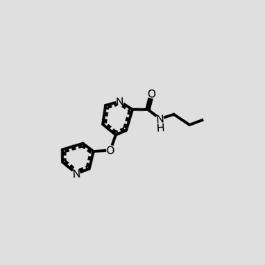 CCCNC(=O)c1cc(Oc2cccnc2)ccn1